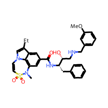 CCc1cn2c3c(cc(C(=O)N[C@@H](Cc4ccccc4)[C@H](O)CNCc4cccc(OC)c4)cc13)N(C)S(=O)(=O)C=C2